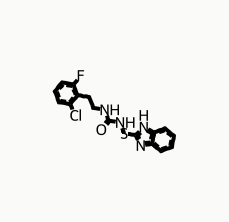 O=C(NCCc1c(F)cccc1Cl)NSc1nc2ccccc2[nH]1